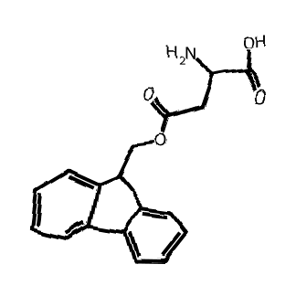 NC(CC(=O)OCC1c2ccccc2-c2ccccc21)C(=O)O